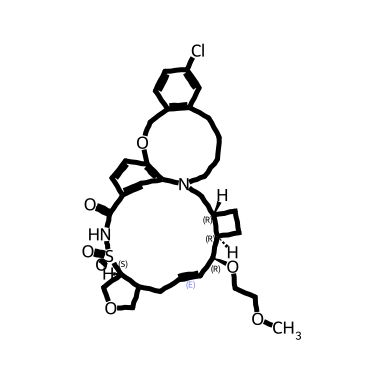 COCCO[C@H]1/C=C/CC2COC[C@H]2S(=O)(=O)NC(=O)c2ccc3c(c2)N(CCCCc2cc(Cl)ccc2CO3)C[C@@H]2CC[C@H]21